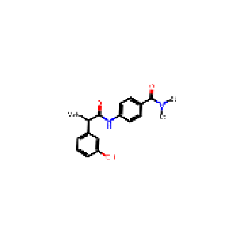 CCN(CC)C(=O)c1ccc(NC(=O)C(NC)c2cccc(O)c2)cc1